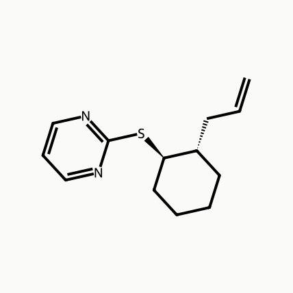 C=CC[C@@H]1CCCC[C@H]1Sc1ncccn1